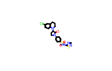 O=C1C(N2CCCc3cc(Cl)ccc32)CCN1c1ccc(S(=O)(=O)Nc2ncns2)cc1